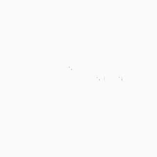 CN1CC=CC=C1C(=O)NCCN1CC=C(c2cccs2)CC1